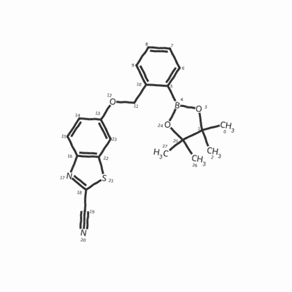 CC1(C)OB(c2ccccc2COc2ccc3nc(C#N)sc3c2)OC1(C)C